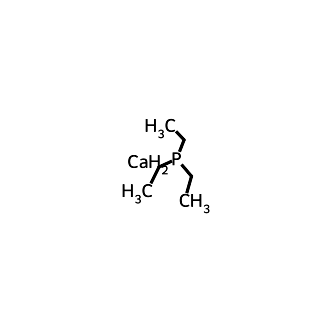 CCP(CC)CC.[CaH2]